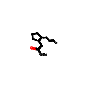 CC/C=C/CC1CCCC1CC(=O)OC